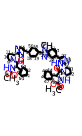 COC(=O)N[C@@H](C(=O)N1CCC[C@H]1c1ncc(-c2ccc(-c3nc4cc(-c5cnc([C@@H]6CCCN6C(=O)[C@H](NC(=O)OC)c6ccccc6)[nH]5)ccc4n3C)cc2)[nH]1)c1ccccc1